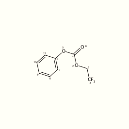 O=C(OCC(F)(F)F)Oc1ccccc1